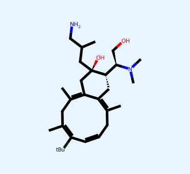 C/C1=C2\C[C@@H]([C@@H](CO)N(C)C)[C@@](O)(CC(C)CN)C\C2=C(/C)C/C(C)=C(C(C)(C)C)\C=C/C1